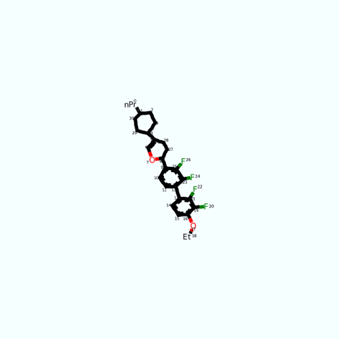 CCCC1CCC(C2=COC(c3ccc(-c4ccc(OCC)c(F)c4F)c(F)c3F)CC2)CC1